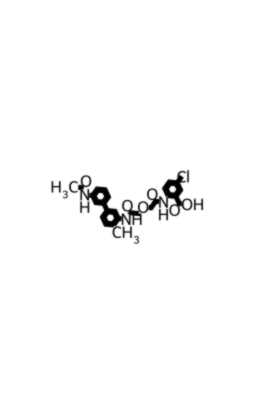 CC(=O)Nc1cccc(-c2ccc(C)c(NC(=O)COCC(=O)Nc3ccc(Cl)cc3C(=O)O)c2)c1